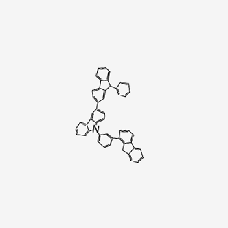 c1ccc(C2c3ccccc3-c3ccc(-c4ccc5c(c4)c4ccccc4n5-c4cccc(-c5cccc6c5Cc5ccccc5-6)c4)cc32)cc1